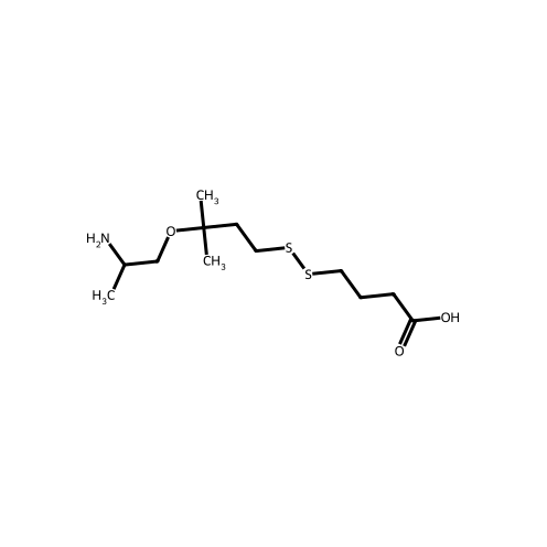 CC(N)COC(C)(C)CCSSCCCC(=O)O